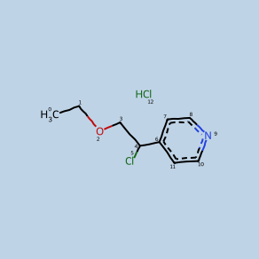 CCOCC(Cl)c1ccncc1.Cl